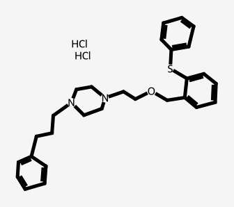 Cl.Cl.c1ccc(CCCN2CCN(CCOCc3ccccc3Sc3ccccc3)CC2)cc1